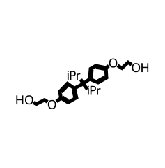 CC(C)C(c1ccc(OCCO)cc1)(c1ccc(OCCO)cc1)C(C)C